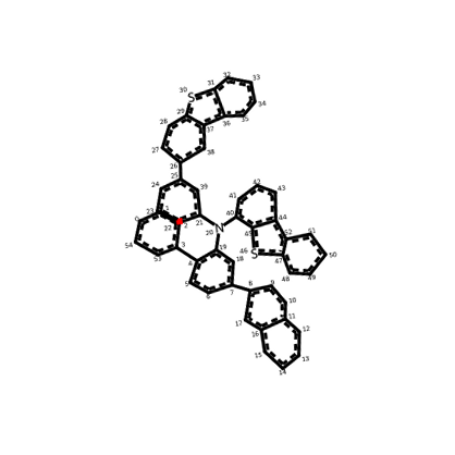 c1ccc(-c2ccc(-c3ccc4ccccc4c3)cc2N(c2cccc(-c3ccc4sc5ccccc5c4c3)c2)c2cccc3c2sc2ccccc23)cc1